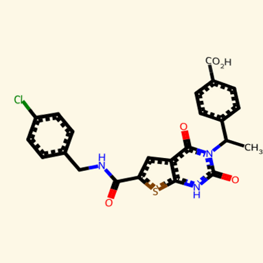 CC(c1ccc(C(=O)O)cc1)n1c(=O)[nH]c2sc(C(=O)NCc3ccc(Cl)cc3)cc2c1=O